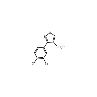 CCOC(=O)c1conc1-c1ccc(Cl)c(Cl)c1